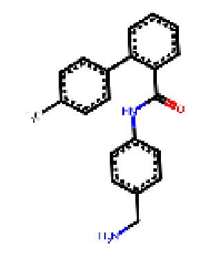 NCc1ccc(NC(=O)c2ccccc2-c2ccc(C(F)(F)F)cc2)cc1